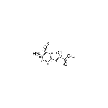 COC(=O)/C(Cl)=C/c1ccc(S)c(OC)c1